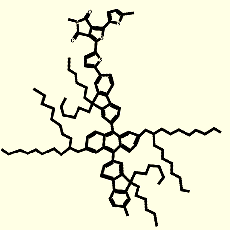 CCCCCCCCC(CCCCCCCC)Cc1ccc2c(-c3ccc4c(c3)C(CCCCCC)(CCCCCC)c3cc(-c5ccc(-c6sc(-c7ccc(C)s7)c7c6C(=O)N(C)C7=O)s5)ccc3-4)c3cc(CC(CCCCCCCC)CCCCCCCC)ccc3c(-c3ccc4c(c3)C(CCCCCC)(CCCCCC)c3cc(C)ccc3-4)c2c1